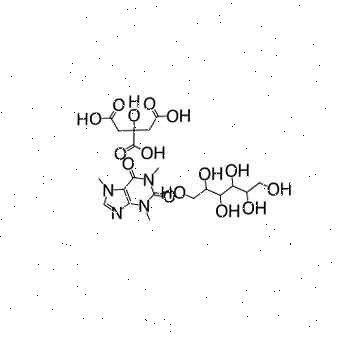 Cn1c(=O)c2c(ncn2C)n(C)c1=O.O=C(O)CC(O)(CC(=O)O)C(=O)O.OCC(O)C(O)C(O)C(O)CO